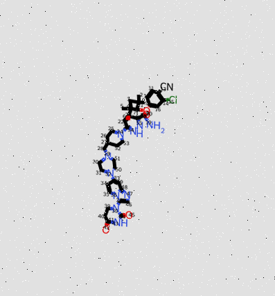 CC1(C)CC(C)(C)C1(Oc1ccc(C#N)c(Cl)c1)[C@@]1(C(N)=O)C=CC(N2CCC(CN3CCN(c4ccn5c(N6CCC(=O)NC6=O)cnc5c4)CC3)CC2)=NN1